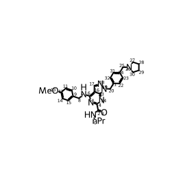 CCCNC(=O)c1nc(NCc2ccc(OC)cc2)c2cnn(Cc3ccc(CN4CCCC4)cc3)c2n1